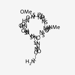 CNC(=O)C[C@@H]1NC(=O)c2csc(n2)-c2ccc(-c3nc(N=NC(=O)OCCCC(C)(C)N)cs3)nc2-c2csc(n2)-c2csc(n2)[C@H]([C@@H](O)c2ccccc2)NC(=O)CNC(=O)c2nc(sc2COC)[C@H](C(C)C)NC(=O)c2nc1sc2C